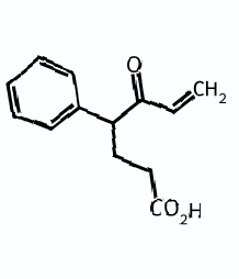 C=CC(=O)C(CCC(=O)O)c1ccccc1